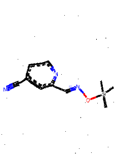 C[Si](C)(C)O/N=C/c1cc(C#N)ccn1